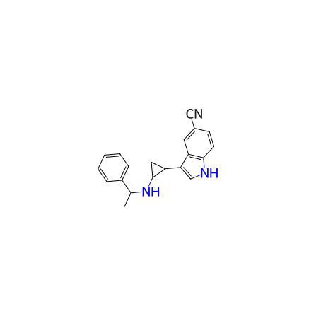 CC(NC1CC1c1c[nH]c2ccc(C#N)cc12)c1ccccc1